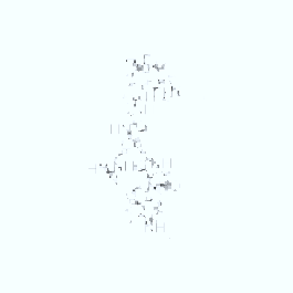 CO[C@@H]1[C@H](OC(=O)NCC(=O)N[C@@H](CCCNC(=N)N)C(=O)NC[C@@H](O)N[C@@H](CC(=O)O)C(=O)N[C@@H](CO)C(=O)N2CCCC2C(N)=O)CC[C@]2(CO2)[C@H]1[C@@]1(C)O[C@@H]1CC=C(C)C